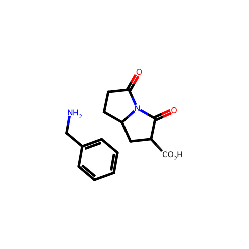 NCc1ccccc1.O=C(O)C1CC2CCC(=O)N2C1=O